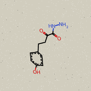 NNC(=O)C(=O)CCc1ccc(O)cc1